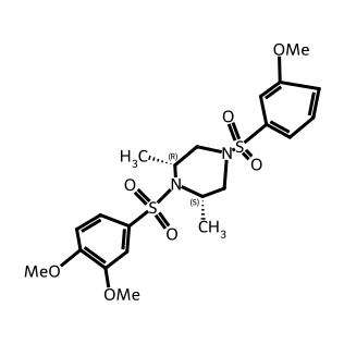 COc1cccc(S(=O)(=O)N2C[C@@H](C)N(S(=O)(=O)c3ccc(OC)c(OC)c3)[C@@H](C)C2)c1